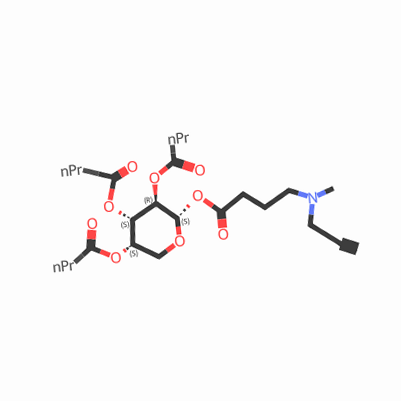 C#CCN(C)CCCC(=O)O[C@@H]1OC[C@H](OC(=O)CCC)[C@H](OC(=O)CCC)[C@H]1OC(=O)CCC